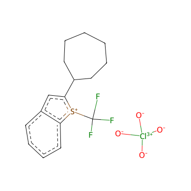 FC(F)(F)[s+]1c(C2CCCCCC2)cc2ccccc21.[O-][Cl+3]([O-])([O-])[O-]